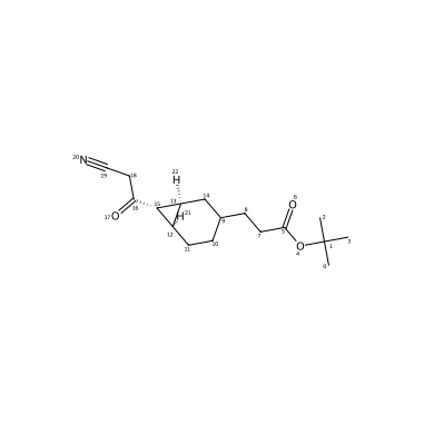 CC(C)(C)OC(=O)CCC1CC[C@@H]2[C@H](C1)[C@H]2C(=O)CC#N